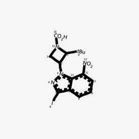 CC(C)(C)C1C(n2nc(I)c3cccc([N+](=O)[O-])c32)CN1C(=O)O